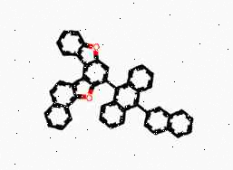 c1ccc2cc(-c3c4ccccc4c(-c4cc5oc6ccccc6c5c5c4oc4c6ccccc6ccc45)c4ccccc34)ccc2c1